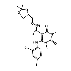 Cn1c(Nc2ccc(I)cc2Cl)c(C(=O)NOC[C@H]2COC(C)(C)O2)c(=O)n(C)c1=O